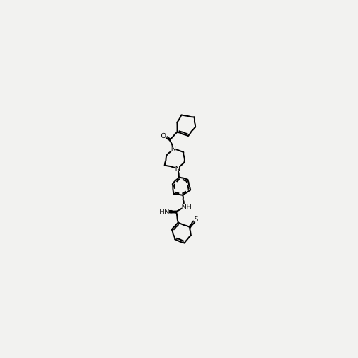 N=C(Nc1ccc(N2CCN(C(=O)C3=CCCCC3)CC2)cc1)C1=CC=CCC1=S